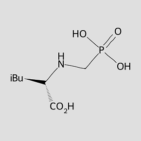 CC[C@H](C)[C@H](NCP(=O)(O)O)C(=O)O